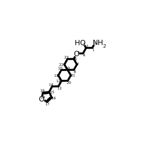 NCC(O)COC1CCC2(CCC(CCc3ccoc3)CC2)CC1